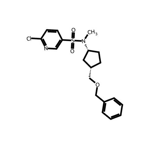 CN([C@@H]1CC[C@H](COCc2ccccc2)C1)S(=O)(=O)c1ccc(Cl)nc1